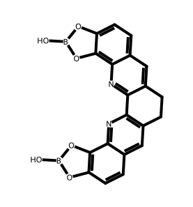 OB1Oc2ccc3cc4c(nc3c2O1)-c1nc2c3c(ccc2cc1CC4)OB(O)O3